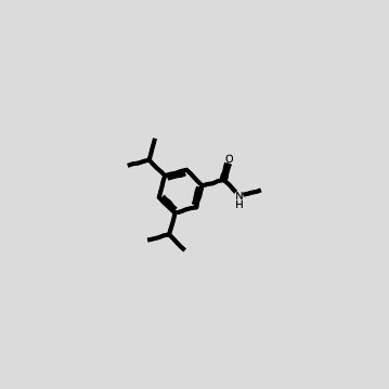 CNC(=O)c1cc(C(C)C)cc(C(C)C)c1